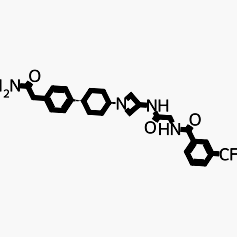 NC(=O)Cc1ccc([C@H]2CC[C@@H](N3CC(NC(=O)CNC(=O)c4cccc(C(F)(F)F)c4)C3)CC2)cc1